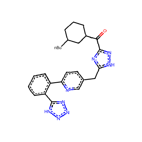 CCCCC1CCCC(C(=O)c2n[nH]c(Cc3ccc(-c4ccccc4-c4nnn[nH]4)nc3)n2)C1